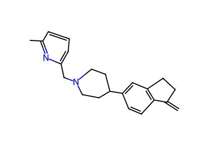 C=C1CCc2cc(C3CCN(Cc4cccc(C)n4)CC3)ccc21